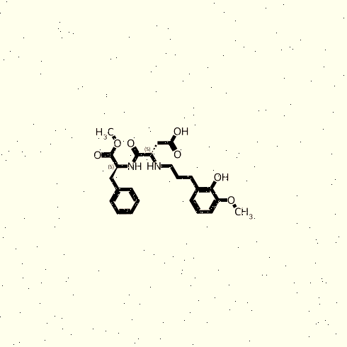 COC(=O)[C@H](Cc1ccccc1)NC(=O)[C@H](CC(=O)O)NCCCc1cccc(OC)c1O